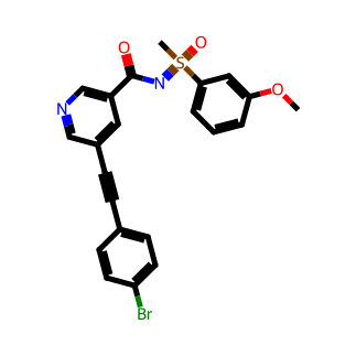 COc1cccc(S(C)(=O)=NC(=O)c2cncc(C#Cc3ccc(Br)cc3)c2)c1